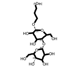 CCCCCCCCCCCCCO[C@@H]1OC(CO)[C@@H](O[C@H]2OC(CO)[C@@H](O)C(O)C2O)C(O)C1O